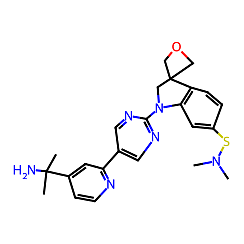 CN(C)Sc1ccc2c(c1)N(c1ncc(-c3cc(C(C)(C)N)ccn3)cn1)CC21COC1